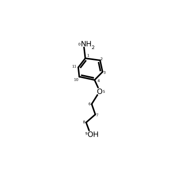 Nc1ccc(OCCCO)cc1